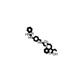 CCC(C(=O)O)C1CCC(=O)N(CC(=O)NCC2CCC(Nc3nc4ccccc4[nH]3)CC2)c2ccccc21